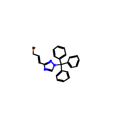 BrCC=Cc1ncn(C(c2ccccc2)(c2ccccc2)c2ccccc2)n1